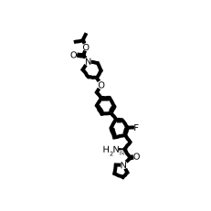 CC(C)OC(=O)N1CCC(OCc2ccc(-c3ccc(C[C@H](N)C(=O)N4CCCC4)c(F)c3)cc2)CC1